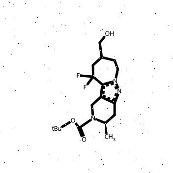 C[C@@H]1Cc2nn3c(c2CN1C(=O)OC(C)(C)C)C(F)(F)CC(CO)CC3